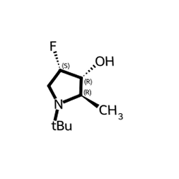 C[C@@H]1[C@@H](O)[C@@H](F)CN1C(C)(C)C